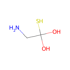 NCC(O)(O)S